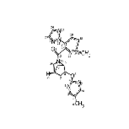 Cc1cnc(OC2C[C@H]3CC2N(C(=O)c2nc(C)ccc2-n2nccn2)C3)nc1